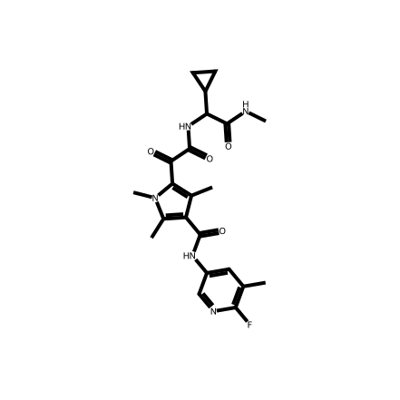 CNC(=O)C(NC(=O)C(=O)c1c(C)c(C(=O)Nc2cnc(F)c(C)c2)c(C)n1C)C1CC1